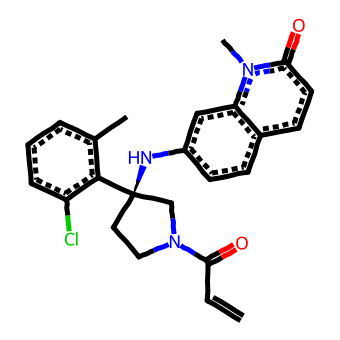 C=CC(=O)N1CC[C@](Nc2ccc3ccc(=O)n(C)c3c2)(c2c(C)cccc2Cl)C1